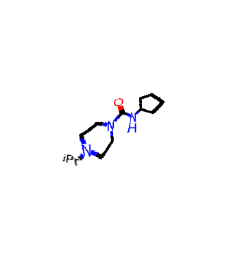 CC(C)N1CCN(C(=O)NC2CCCC2)CC1